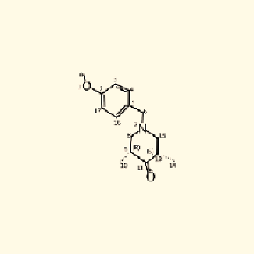 COc1ccc(CN2C[C@@H](C)C(=O)[C@@H](C)C2)cc1